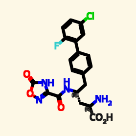 N[C@H](C[C@@H](Cc1ccc(-c2cc(Cl)ccc2F)cc1)NC(=O)c1noc(=O)[nH]1)C(=O)O